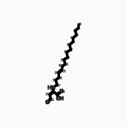 CCCCCCCCCCCCCC=CCCCNC(=CC=O)C(=O)O